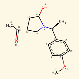 COc1ccc([C@H](C)N2C[C@H](C(C)=O)CC2O)cc1